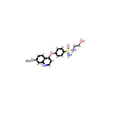 COc1ccc2c(Oc3ccc([S@](=N)(=O)NCCO)cc3)ccnc2c1